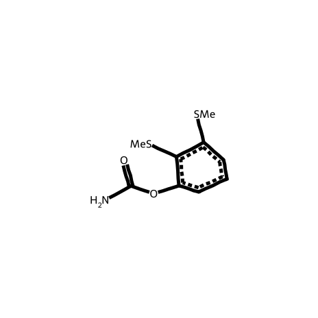 CSc1cccc(OC(N)=O)c1SC